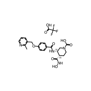 Cc1ncccc1COc1ccc(C(=O)N[C@@H]2CN(C(=O)O)CC[C@@H]2C(=O)NO)cc1.O=C(O)C(F)(F)F